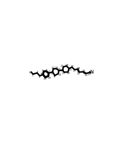 CCCCc1ccc(C2CCC(C3CCC(CCC=CC=CC#N)CC3)CC2)cc1